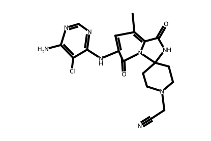 Cc1cc(Nc2ncnc(N)c2Cl)c(=O)n2c1C(=O)NC21CCN(CC#N)CC1